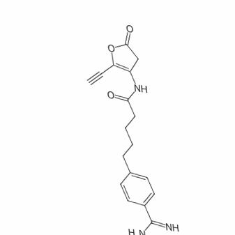 C#CC1=C(NC(=O)CCCCc2ccc(C(=N)N)cc2)CC(=O)O1